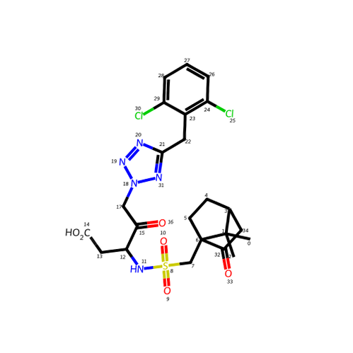 CC1(C)C2CCC1(CS(=O)(=O)NC(CC(=O)O)C(=O)Cn1nnc(Cc3c(Cl)cccc3Cl)n1)C(=O)C2